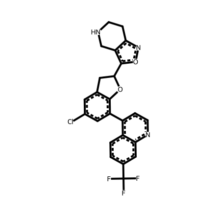 FC(F)(F)c1ccc2c(-c3cc(Cl)cc4c3OC(c3onc5c3CNCC5)C4)ccnc2c1